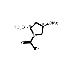 CO[C@@H]1C[C@@H](C(=O)O)N(C(=O)C(C)C)C1